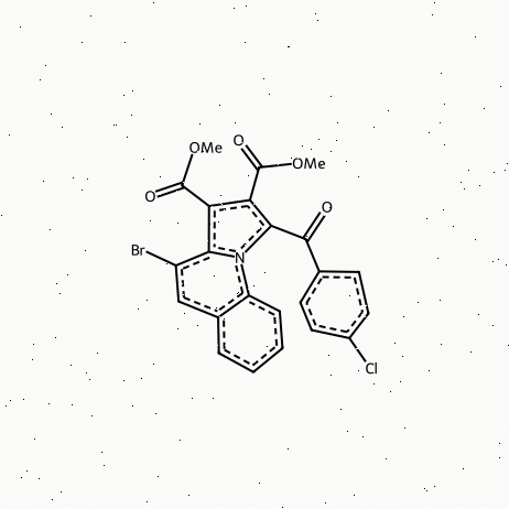 COC(=O)c1c(C(=O)OC)c2c(Br)cc3ccccc3n2c1C(=O)c1ccc(Cl)cc1